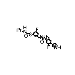 CC(C)CNC(=O)COc1cc(F)cc(CNC(=O)N2CCc3cc(-c4cn[nH]c4)c(F)cc32)c1